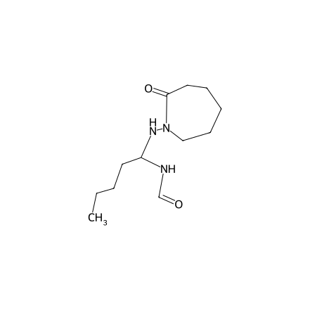 CCCCC(NC=O)NN1CCCCCC1=O